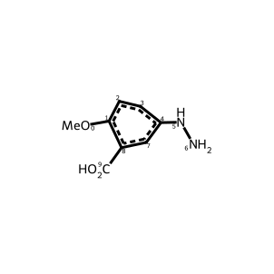 COc1ccc(NN)cc1C(=O)O